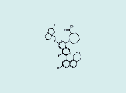 CCc1c(F)ccc2cc(O)cc(-c3ncc4c(N5CCCCCC(C(=O)O)C5)nc(OC[C@@]56CCCN5C[C@H](F)C6)nc4c3F)c12